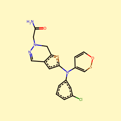 NC(=O)CN1Cc2sc(N(C3=CSOC=C3)c3cccc(Cl)c3)cc2C=N1